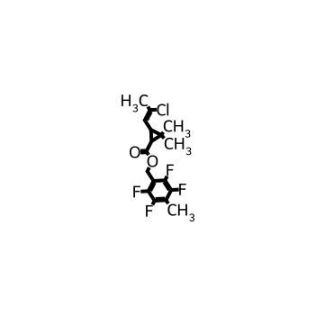 C/C(Cl)=C/C1C(C(=O)OCc2c(F)c(F)c(C)c(F)c2F)C1(C)C